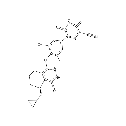 N#Cc1nn(-c2cc(Cl)c(Oc3n[nH]c(=O)c4c3CCC[C@@H]4OC3CC3)c(Cl)c2)c(=O)[nH]c1=O